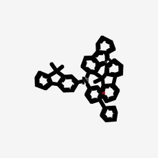 CC1(C)c2ccccc2-c2ccc(N(c3ccc(-c4ccccc4)cc3)c3ccc4c(oc5ccccc54)c3C3(C)c4ccccc4-c4ccccc43)cc21